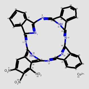 O=[N+]([O-])c1cc2c3nc4nc(nc5[nH]c(nc6nc(nc([nH]3)c2c([N+](=O)[O-])c1[N+](=O)[O-])-c1ccccc1-6)c1ccccc51)-c1ccccc1-4.[Cu+2]